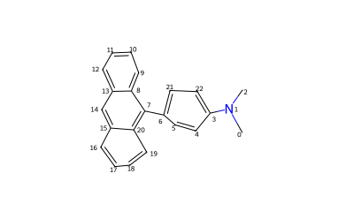 CN(C)c1ccc(-c2c3ccccc3cc3ccccc23)cc1